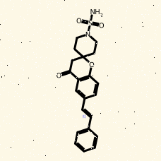 NS(=O)(=O)N1CCC2(CC1)CC(=O)c1cc(/C=C/c3ccccc3)ccc1O2